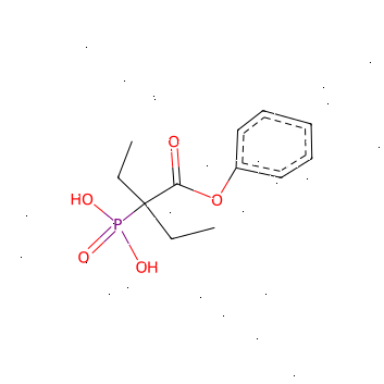 CCC(CC)(C(=O)Oc1ccccc1)P(=O)(O)O